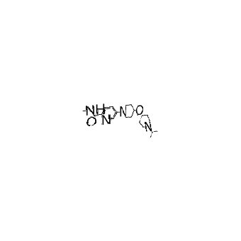 CNC(=O)c1ccc(N2CCC(OC3CCN(C(C)C)CC3)CC2)cn1